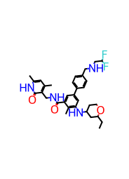 CCC1CC(Nc2cc(-c3ccc(CNCC(F)F)cc3)cc(C(=O)NCc3c(C)cc(C)[nH]c3=O)c2C)CCO1